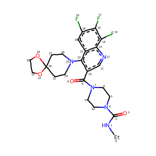 CCNC(=O)N1CCN(C(=O)c2cnc3c(F)c(F)c(F)cc3c2N2CCC3(CC2)OCCO3)CC1